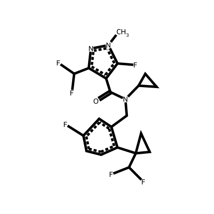 Cn1nc(C(F)F)c(C(=O)N(Cc2cc(F)ccc2C2(C(F)F)CC2)C2CC2)c1F